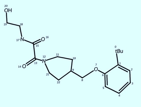 CC(C)(C)c1ccccc1OCC1CCN(C(=O)C(=O)[N]CCO)CC1